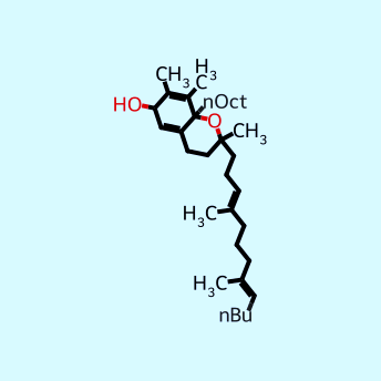 CCCC/C=C(\C)CCC/C(C)=C/CCC1(C)CCC2=CC(O)C(C)=C(C)C2(CCCCCCCC)O1